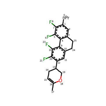 CCCc1cc2c(c(F)c1F)-c1c(cc(C3CC=C(C)OC3)c(F)c1F)CC2